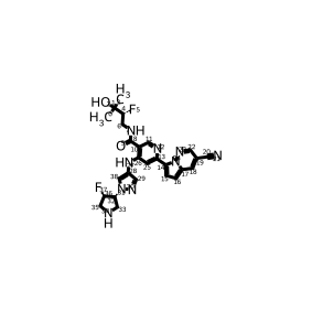 CC(C)(O)[C@H](F)CNC(=O)c1cnc(-c2ccc3cc(C#N)cnn23)cc1Nc1cnn([C@@H]2CNC[C@H]2F)c1